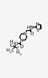 CC(C)(C)OC(=O)N1CCN(CC(=O)Nc2nccs2)CC1